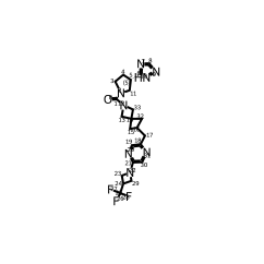 O=C(N1CC[C@H](c2ncn[nH]2)C1)N1CC2(CC(Cc3cnc(N4CC(C(F)(F)F)C4)cn3)C2)C1